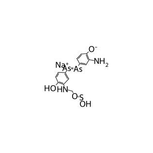 Nc1cc([As]=[As]c2ccc(O)c(NCOSO)c2)ccc1[O-].[Na+]